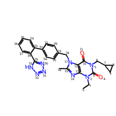 CCn1c(=O)n(CC2CC2)c(=O)c2c1nc(C)n2Cc1ccc(-c2ccccc2-c2nnn[nH]2)cc1